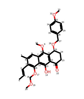 CC=Cc1c(C)cc2c(OC)c3c(c(O)c2c1OCOC)C(=O)CC[C@@H]3OCc1ccc(OC)cc1